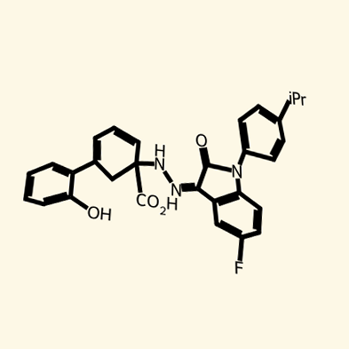 CC(C)c1ccc(N2C(=O)C(=NNC3(C(=O)O)C=CC=C(c4ccccc4O)C3)c3cc(F)ccc32)cc1